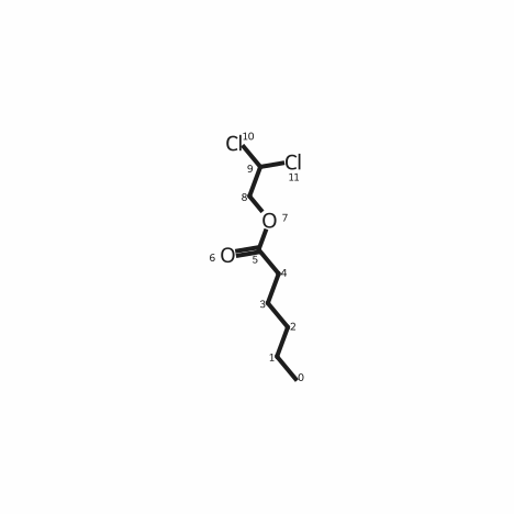 CCCCCC(=O)OCC(Cl)Cl